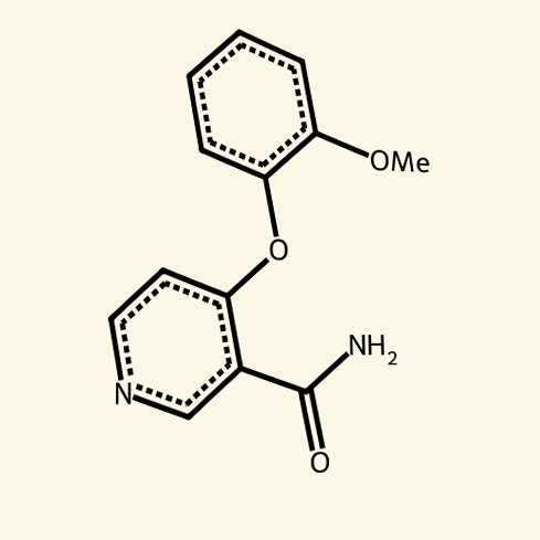 COc1ccccc1Oc1ccncc1C(N)=O